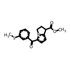 COC(=O)C1CCn2c(C(=O)c3cccc(SC)c3)ccc21